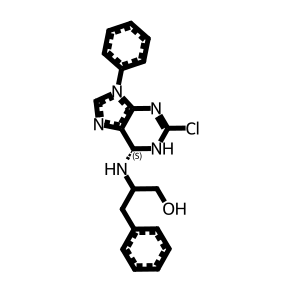 OCC(Cc1ccccc1)N[C@H]1NC(Cl)=Nc2c1ncn2-c1ccccc1